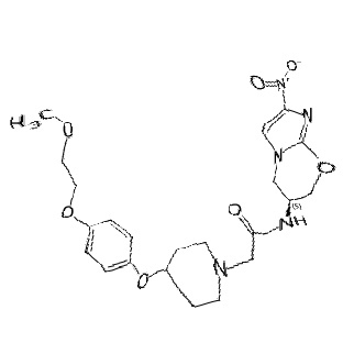 COCCOc1ccc(OC2CCN(CC(=O)N[C@@H]3COc4nc([N+](=O)[O-])cn4C3)CC2)cc1